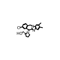 Cc1cc2nc3n(c2cc1C)Cc1ccc(Cl)cc1[C@H]3N1CCC[C@H]1CO